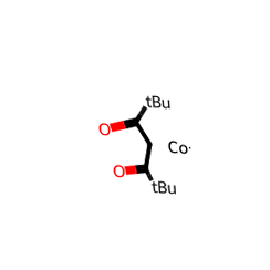 CC(C)(C)C(=O)CC(=O)C(C)(C)C.[Co]